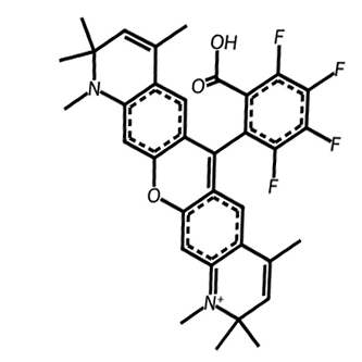 CC1=CC(C)(C)N(C)c2cc3c(cc21)C(c1c(F)c(F)c(F)c(F)c1C(=O)O)=c1cc2c(cc1O3)=[N+](C)C(C)(C)C=C2C